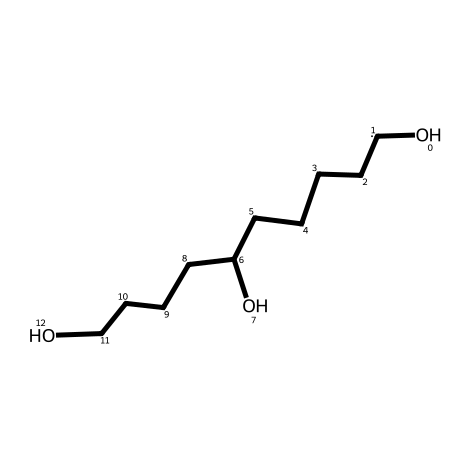 O[CH]CCCCC(O)CCCCO